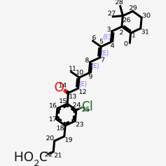 CC1=C(/C=C/C(C)=C/C=C/C(C)=C/C(=O)c2ccc(CCCC(=O)O)cc2Cl)C(C)(C)CCC1